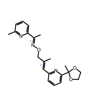 C/C(=C\c1cccc(C2(C)OCCO2)n1)CO/N=C(\C)c1cccc(C)n1